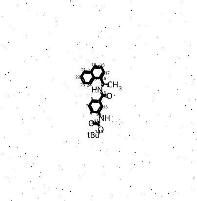 C[C@@H](NC(=O)c1cccc(NC(=O)OC(C)(C)C)c1)c1cccc2ccccc12